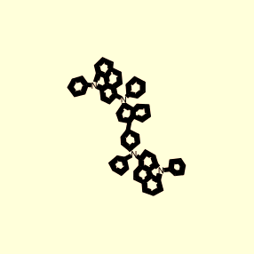 c1ccc(N(c2ccc(-c3ccc(N(c4ccccc4)c4ccc5c6c4ccc4cccc(c46)n5-c4ccccc4)c4ccccc34)cc2)c2ccc3c4c2ccc2cccc(c24)n3-c2ccccc2)cc1